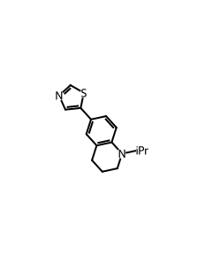 CC(C)N1CCCc2cc(-c3cncs3)ccc21